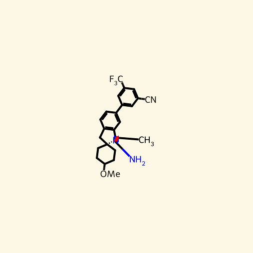 COC1CCC2(CC1)Cc1ccc(-c3cc(C#N)cc(C(F)(F)F)c3)cc1[C@@]21N=C(C)C(N)=N1